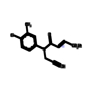 C#CCN(C(=O)/C=C/C(=O)OCC)c1ccc(Cl)c(C)c1